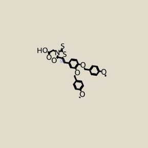 COc1ccc(COc2ccc(/C=C3\SC(=S)N(CC(=O)O)C3=O)cc2OCc2ccc(OC)cc2)cc1